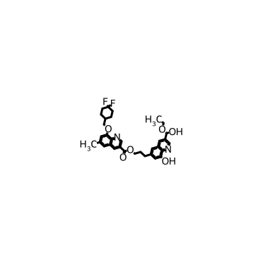 CCOC(O)c1cnc2c(O)cc(CCCOC(=O)c3cnc4c(OCC5CCC(F)(F)CC5)cc(C)cc4c3)cc2c1